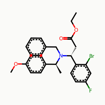 CCOC(=O)C[C@H](c1ccc(F)cc1Br)N(Cc1ccccc1)[C@@H](C)c1ccc(OC)cc1